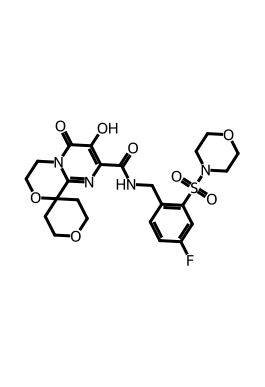 O=C(NCc1ccc(F)cc1S(=O)(=O)N1CCOCC1)c1nc2n(c(=O)c1O)CCOC21CCOCC1